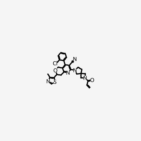 C=CC(=O)N1CC2(CCN(c3nc4c(c(-c5ccccc5Cl)c3C#N)COC(c3scnc3C)C4)C2)C1